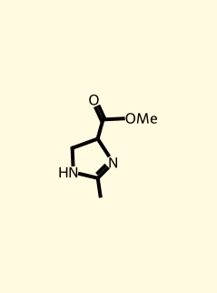 COC(=O)C1CNC(C)=N1